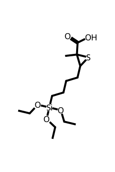 CCO[Si](CCCCC1SC1(C)C(=O)O)(OCC)OCC